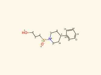 [O-][S+](CCCO)N1CCC(c2c[c]ccc2)CC1